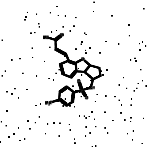 Cc1ccc(S(=O)(=O)NC2CCC3Oc4c(C=CC(=O)O)cccc4C23)cc1